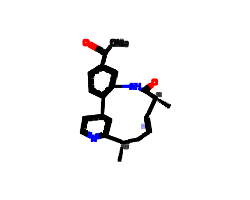 COC(=O)c1ccc2c(c1)NC(=O)[C@H](C)/C=C/C[C@H](C)c1cc-2ccn1